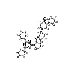 c1ccc(-c2nc(-c3ccccc3)nc(-c3cccc4c3sc3cc(-c5ccc6oc7ccccc7c6c5)ccc34)n2)cc1